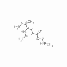 BCC(C)C(CCC(=O)OCNC)NCC